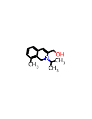 Cc1cccc2c1CN(C(C)C)C(CO)=C2